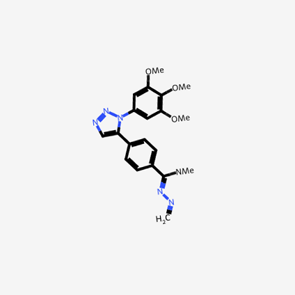 C=N/N=C(\NC)c1ccc(-c2cnnn2-c2cc(OC)c(OC)c(OC)c2)cc1